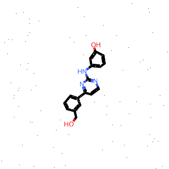 OCc1cccc(-c2ccnc(Nc3cccc(O)c3)n2)c1